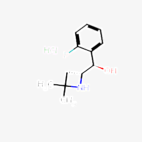 CC1(C)C[C@H]([C@H](O)c2ccccc2F)N1.Cl